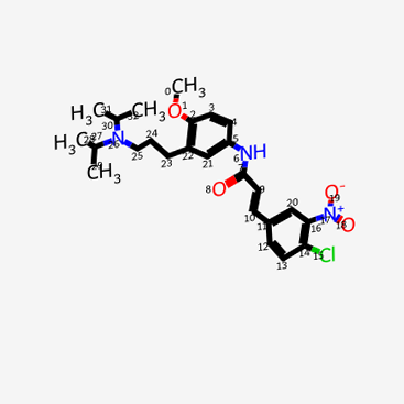 COc1ccc(NC(=O)C=Cc2ccc(Cl)c([N+](=O)[O-])c2)cc1CCCN(C(C)C)C(C)C